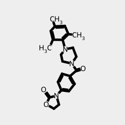 Cc1cc(C)c(N2CCN(C(=O)c3ccc(N4CCOC4=O)cc3)CC2)c(C)c1